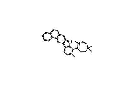 Cc1ccc2c(oc3cc4ccc5ccccc5c4cc32)c1C1=[N+](C)C=CC(C)(I)C=C1